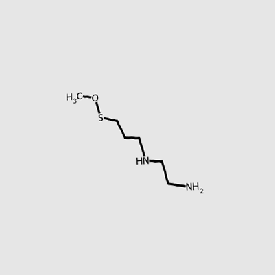 COSCCCNCCN